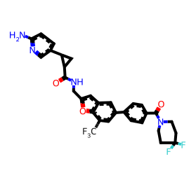 Nc1ccc(C2CC2C(=O)NCc2cc3cc(-c4ccc(C(=O)N5CCC(F)(F)CC5)cc4)cc(C(F)(F)F)c3o2)cn1